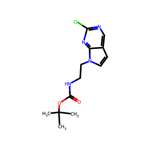 CC(C)(C)OC(=O)NCCn1ccc2cnc(Cl)nc21